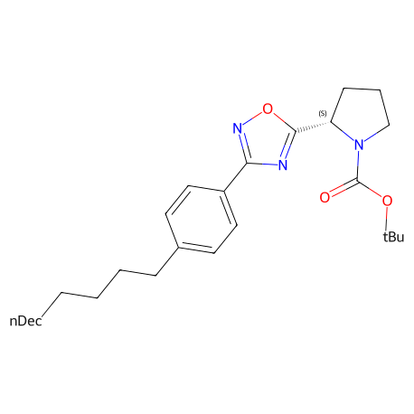 CCCCCCCCCCCCCCc1ccc(-c2noc([C@@H]3CCCN3C(=O)OC(C)(C)C)n2)cc1